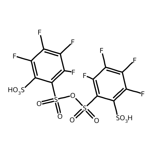 O=S(=O)(O)c1c(F)c(F)c(F)c(F)c1S(=O)(=O)OS(=O)(=O)c1c(F)c(F)c(F)c(F)c1S(=O)(=O)O